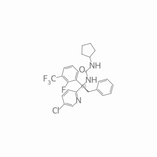 O=C(NC1CCCC1)N[C@](Cc1ccccc1)(c1ccc(Cl)cn1)c1cccc(C(F)(F)F)c1F